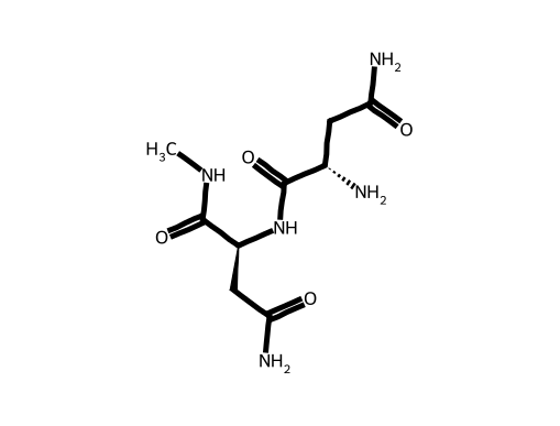 CNC(=O)[C@H](CC(N)=O)NC(=O)[C@@H](N)CC(N)=O